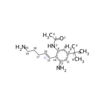 CC(=O)Nc1cc(C(C)(C)C)cc(N)c1/C=C/CCCN